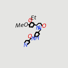 CCOc1cc(C2=NN(Cc3ccc(NC(=O)c4ccncc4)cc3)C(=O)CC2)ccc1OC